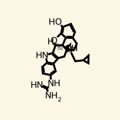 N=C(N)Nc1ccc2[nH]c3c(c2c1)C[C@@]1(O)C2Cc4ccc(O)c5c4[C@@]1(CCN2CC1CC1)[C@H]3O5